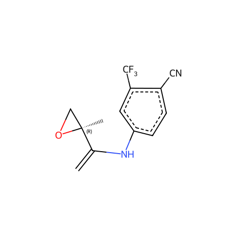 C=C(Nc1ccc(C#N)c(C(F)(F)F)c1)[C@]1(C)CO1